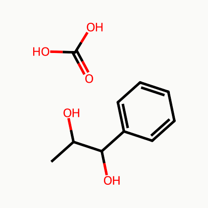 CC(O)C(O)c1ccccc1.O=C(O)O